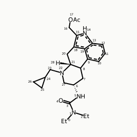 CCN(CC)C(=O)N[C@H]1CC2c3cccc4[nH]c(COC(C)=O)c(c34)C[C@H]2N(CC2CC2)C1